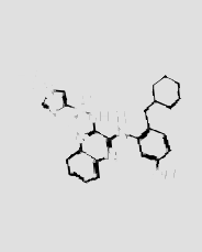 Cn1cnc(S(=O)(=O)Nc2nc3ccccc3nc2Nc2cc(O)ccc2CC2CCCCC2)c1